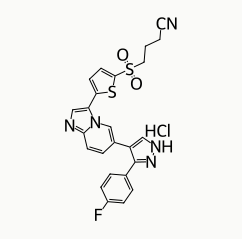 Cl.N#CCCCS(=O)(=O)c1ccc(-c2cnc3ccc(-c4c[nH]nc4-c4ccc(F)cc4)cn23)s1